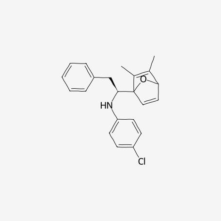 CC1=C(C)C2([C@H](Cc3ccccc3)Nc3ccc(Cl)cc3)C=CC1O2